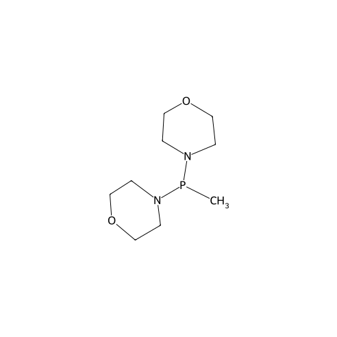 CP(N1CCOCC1)N1CCOCC1